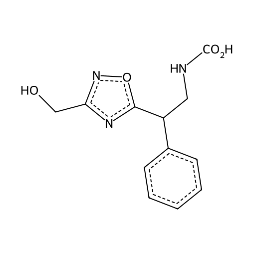 O=C(O)NCC(c1ccccc1)c1nc(CO)no1